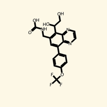 O=C(O)NCc1cc(-c2ccc(OC(F)(F)F)cc2)c2nccnc2c1C(O)CO